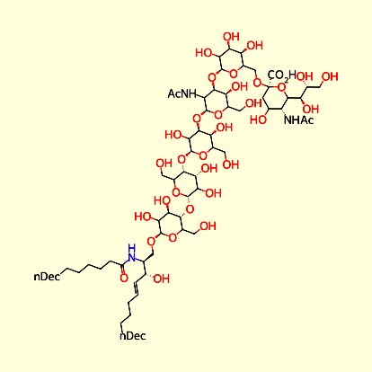 CCCCCCCCCCCCC/C=C/[C@@H](O)[C@H](CO[C@@H]1OC(CO)[C@@H](O[C@@H]2OC(CO)[C@H](O[C@@H]3OC(CO)[C@H](O)[C@H](O[C@@H]4OC(CO)[C@H](O)[C@H](O[C@@H]5OC(CO[C@]6(C(=O)O)CC(O)[C@@H](NC(C)=O)C([C@H](O)[C@H](O)CO)O6)[C@H](O)[C@H](O)C5O)C4NC(C)=O)C3O)[C@H](O)C2O)[C@H](O)C1O)NC(=O)CCCCCCCCCCCCCCC